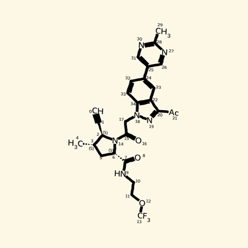 C#C[C@@H]1[C@@H](C)C[C@@H](C(=O)NCCOC(F)(F)F)N1C(=O)Cn1nc(C(C)=O)c2cc(-c3cnc(C)nc3)ccc21